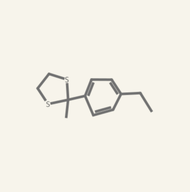 CCc1ccc(C2(C)SCCS2)cc1